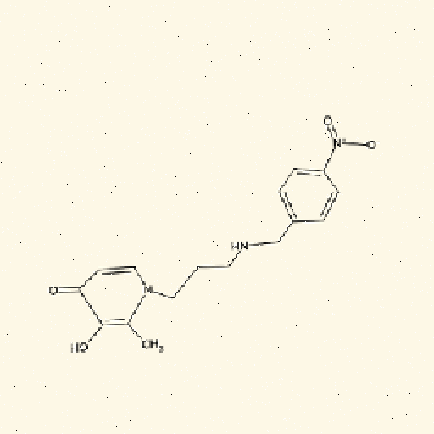 Cc1c(O)c(=O)ccn1CCCNCc1ccc([N+](=O)[O-])cc1